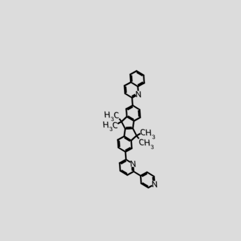 CC1(C)C2=C(c3ccc(-c4cccc(-c5ccncc5)n4)cc31)C(C)(C)c1cc(-c3ccc4ccccc4n3)ccc12